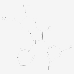 COC(=O)C(C)Oc1nn(-c2ccccc2)c(-c2cc(F)cc(F)c2)c1Cl